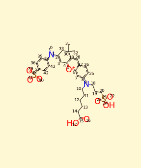 CN(C1=Cc2[o+]c3cc(N(CCCCCC(=O)O)CCCS(=O)(=O)O)ccc3cc2C(C)(C)C1)c1ccc(S(=O)(=O)[O-])cc1